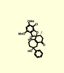 COc1cc(OC)c2c(c1Cl)O[C@]1(C2=O)C2=C(C[C@](O)(c3ccccc3)CCN2)C(=O)C[C@H]1C